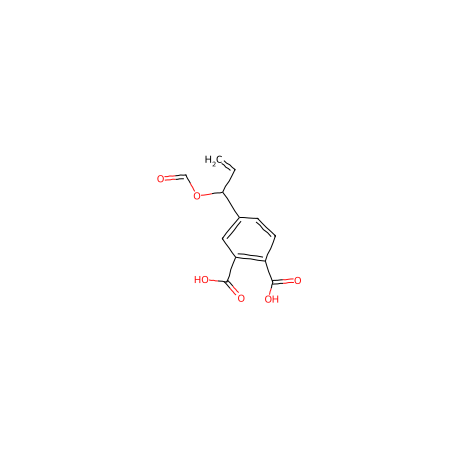 C=CC(OC=O)c1ccc(C(=O)O)c(C(=O)O)c1